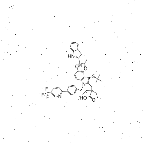 CCC(CC)(Cc1c(SC(C)(C)C)c2cc(O[C@H](C(C)=O)C3Cc4ccccc4N3)ccc2n1Cc1ccc(-c2ccc(C(F)(F)F)cn2)cc1)C(=O)O